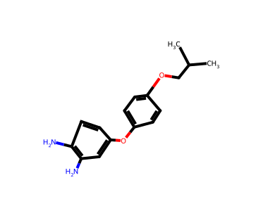 CC(C)COc1ccc(Oc2ccc(N)c(N)c2)cc1